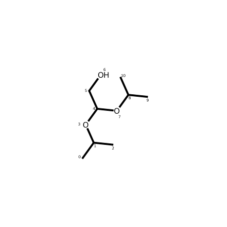 CC(C)OC(CO)OC(C)C